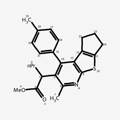 CCCC(C(=O)OC)c1c(C)nc2sc3c(c2c1-c1ccc(C)cc1)CCC3